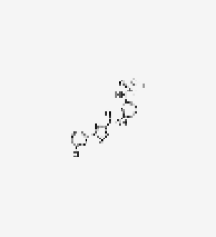 CS(=O)(=O)Nc1cccc(NC(=O)c2csc(-c3cccc(Cl)c3)n2)c1